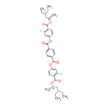 CCC(CC)C[C@@H](C)OC(=O)c1ccc(OC(=O)c2ccc(C(=O)Oc3ccc(C(=O)O[C@H](C)CC(CC)CC)c(F)c3)cc2)cc1F